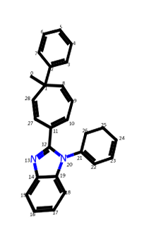 CC1(c2ccccc2)C=CC=C(c2nc3ccccc3n2C2=CC=CCC2)C=C1